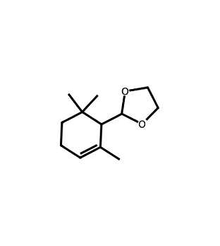 CC1=CCCC(C)(C)C1C1OCCO1